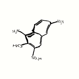 Nc1c(O)c(S(=O)(=O)O)cc2cc(S(=O)(=O)O)ccc12